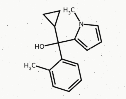 Cc1ccccc1C(O)(c1cccn1C)C1CC1